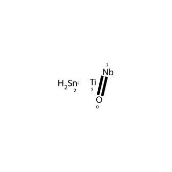 [O]=[Nb].[SnH2].[Ti]